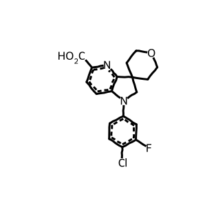 O=C(O)c1ccc2c(n1)C1(CCOCC1)CN2c1ccc(Cl)c(F)c1